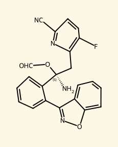 N#Cc1ccc(F)c(C[C@](N)(OC=O)c2ccccc2-c2noc3ccccc23)n1